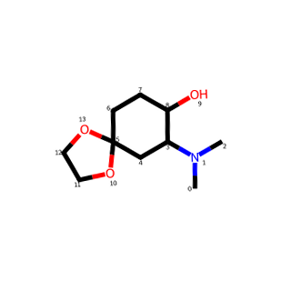 CN(C)C1CC2(CCC1O)OCCO2